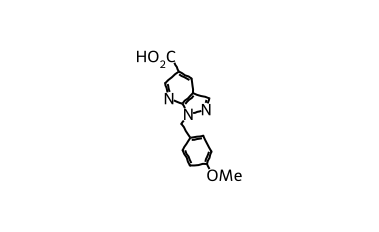 COc1ccc(Cn2ncc3cc(C(=O)O)cnc32)cc1